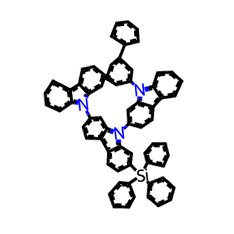 c1ccc(-c2cccc(-n3c4ccccc4c4ccc(-n5c6cc(-n7c8ccccc8c8ccccc87)ccc6c6ccc([Si](c7ccccc7)(c7ccccc7)c7ccccc7)cc65)cc43)c2)cc1